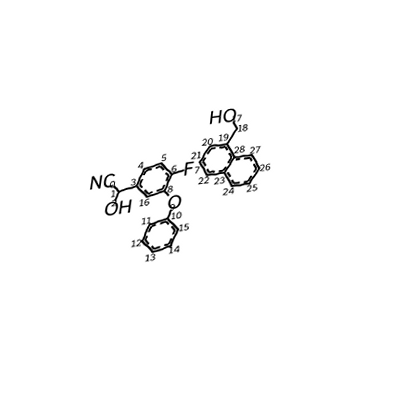 N#CC(O)c1ccc(F)c(Oc2ccccc2)c1.OCc1cccc2ccccc12